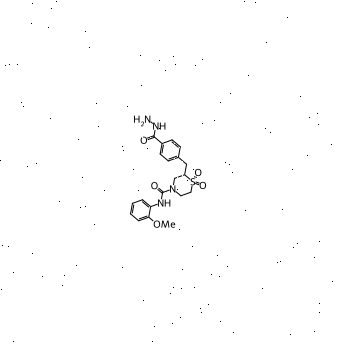 COc1ccccc1NC(=O)N1CCS(=O)(=O)C(Cc2ccc(C(=O)NN)cc2)C1